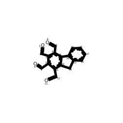 O=Cc1c(C=O)c(C=O)c2c(c1C=O)Cc1ccccc1-2